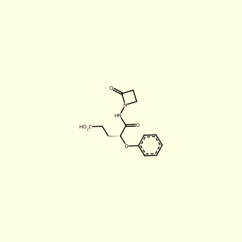 O=C(O)CC[C@@H](Oc1ccccc1)C(=O)NN1CCC1=O